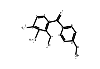 COc1c(C)ccc(C(=O)c2ccc(CO)cc2)c1CO